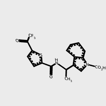 CC(NC(=O)c1ccc(C(=O)C(F)(F)F)s1)c1cn(C(=O)O)c2ccccc12